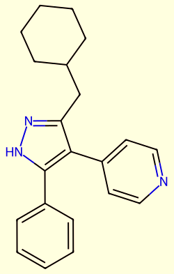 c1ccc(-c2[nH]nc(CC3CCCCC3)c2-c2ccncc2)cc1